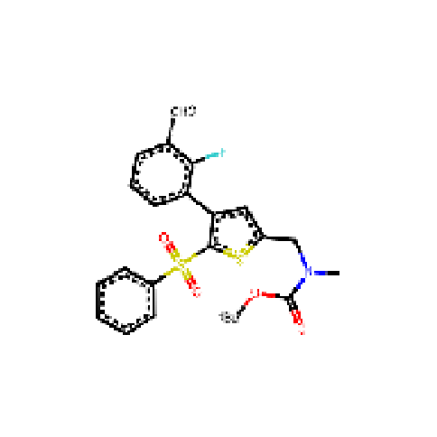 CN(Cc1cc(-c2cccc(C=O)c2F)c(S(=O)(=O)c2ccccc2)s1)C(=O)OC(C)(C)C